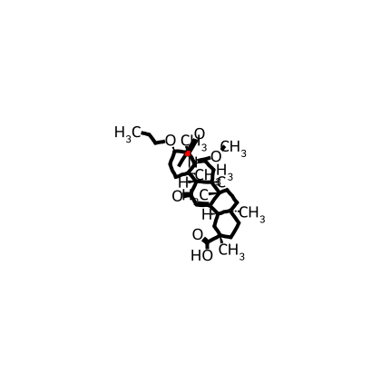 CCCO[C@H]1CC[C@]2(C)[C@H]3C(=O)C=C4[C@@H]5C[C@@](C)(C(=O)O)CC[C@]5(C)CC[C@@]4(C)[C@]3(C)CC[C@]23N(OC)C(=O)[C@]13C